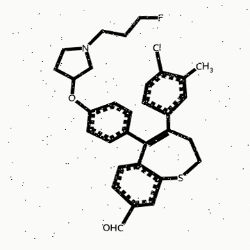 Cc1cc(C2=C(c3ccc(OC4CCN(CCCF)C4)cc3)c3ccc(C=O)cc3SCC2)ccc1Cl